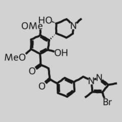 COc1cc(OC)c([C@H]2CCN(C)C[C@H]2O)c(O)c1C(=O)CC(=O)c1cccc(Cn2nc(C)c(Br)c2C)c1